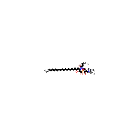 CCCCCCCCCCCCCCCCCCC(=O)CC(CC(=O)P(O)C(=O)CC[N+](C)(C)C)NC(=O)CCC